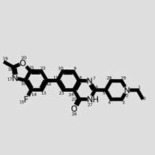 CCN1CCC(c2nc3ccc(-c4cc(F)c5nc(C)oc5c4)cc3c(=O)[nH]2)CC1